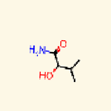 CC(C)C(O)C(N)=O